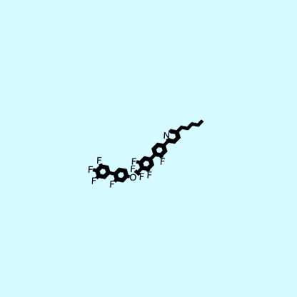 CCCCCc1ccc(-c2ccc(-c3cc(F)c(C(F)(F)Oc4ccc(-c5cc(F)c(F)c(F)c5)c(F)c4)c(F)c3)c(F)c2)nc1